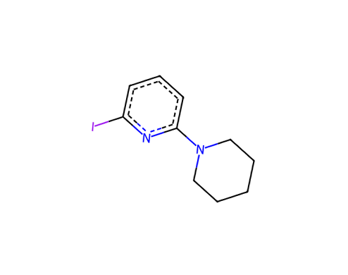 Ic1cccc(N2CCCCC2)n1